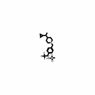 CC(C1CC1)C1CCN(Cc2ccc([C@H](NS(C)(=O)=O)C(F)(F)F)cc2)CC1